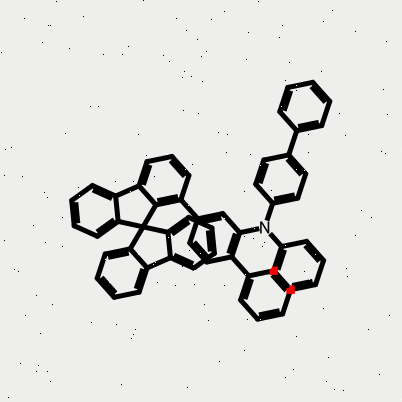 c1ccc(-c2ccc(N(c3ccccc3)c3cc(-c4cccc5c4C4(c6ccccc6-c6ccccc64)c4ccccc4-5)ccc3-c3ccccc3)cc2)cc1